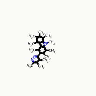 Cc1nnc(-c2c(C)c(C)c3c(c2C)c2c(C)c(C)c(C)c(C)c2n3C)c(C)c1C